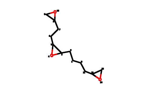 C(CCC1OC1CCC1CO1)CC1CO1